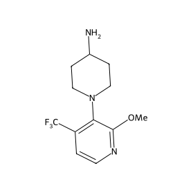 COc1nccc(C(F)(F)F)c1N1CCC(N)CC1